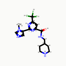 Cn1cncc1-c1nc(C(=O)NCC2CCNCC2)cc(C(F)(F)F)n1